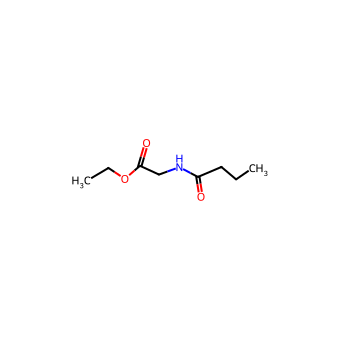 CCCC(=O)NCC(=O)OCC